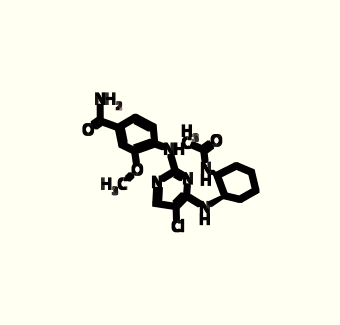 COc1cc(C(N)=O)ccc1Nc1ncc(Cl)c(N[C@@H]2CCCC[C@H]2NC(C)=O)n1